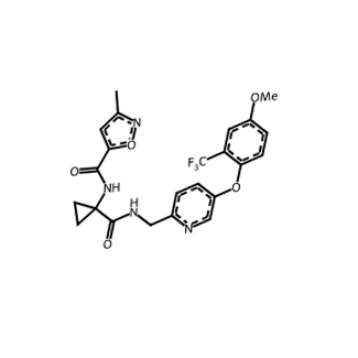 COc1ccc(Oc2ccc(CNC(=O)C3(NC(=O)c4cc(C)no4)CC3)nc2)c(C(F)(F)F)c1